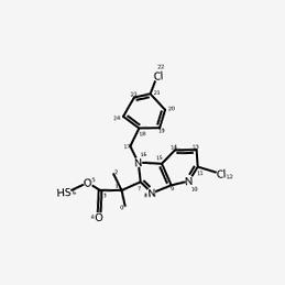 CC(C)(C(=O)OS)c1nc2nc(Cl)ccc2n1Cc1ccc(Cl)cc1